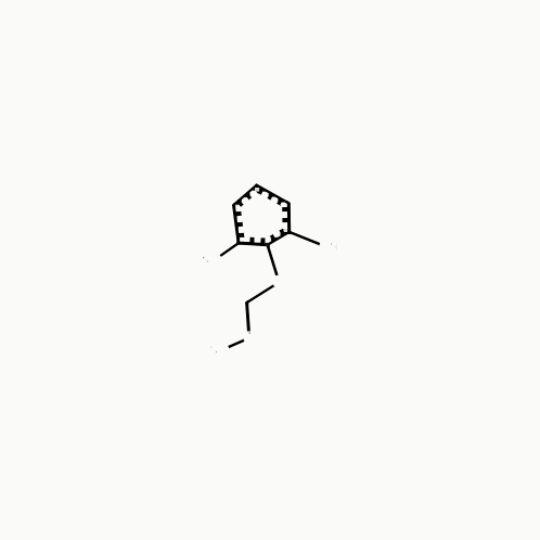 N#CSCSc1c(C#N)cccc1C#N